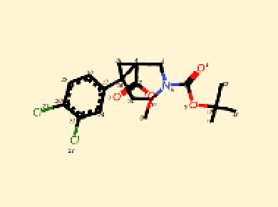 COC(=O)C12CN(C(=O)OC(C)(C)C)CCC1(c1ccc(Cl)c(Cl)c1)C2